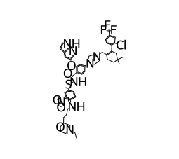 CCN1CCOC(CCCNc2ccc(SNC(=O)c3ccc(N4CCN(CC5=C(c6ccc(C(F)(F)F)cc6Cl)CC(C)(C)CC5)CC4)cc3Oc3cnc4[nH]ccc4c3)cc2[N+](=O)[O-])C1